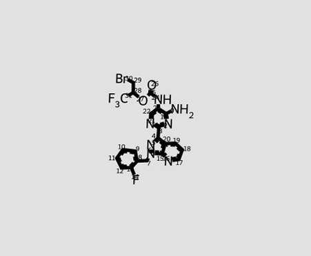 Nc1nc(-c2nn(Cc3ccccc3F)c3ncccc23)ncc1NC(=O)OC(CBr)C(F)(F)F